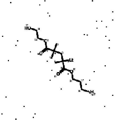 CCC(C)(CC(C)(C)C(=O)OCCO)C(=O)OCCCN